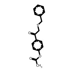 CC(=O)Oc1ccc(C(=O)CSCc2ccccc2)cc1